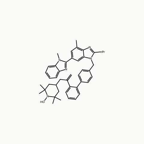 C=C(CC1CC(C)(C)N(O)C(C)(C)C1)c1ccccc1-c1ccc(Cn2c(CCC)nc3c(C)cc(-c4nc5ccccc5n4C)cc32)cc1